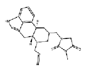 C=CCN1CC(CN2CC(=O)N(C)C2=S)C[C@@H]2c3cccc4[nH]cc(c34)C[C@H]21